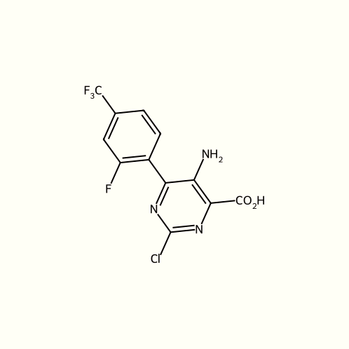 Nc1c(C(=O)O)nc(Cl)nc1-c1ccc(C(F)(F)F)cc1F